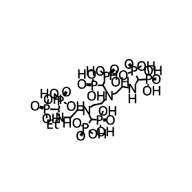 CCN(CCN(CCN(CCNC(P(=O)(O)O)P(=O)(O)O)C(P(=O)(O)O)P(=O)(O)O)C(P(=O)(O)O)P(=O)(O)O)C(P(=O)(O)O)P(=O)(O)O